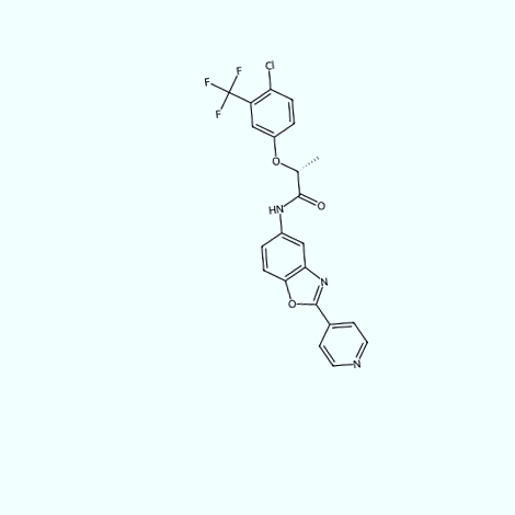 C[C@@H](Oc1ccc(Cl)c(C(F)(F)F)c1)C(=O)Nc1ccc2oc(-c3ccncc3)nc2c1